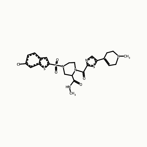 CNC(=O)C1CN(S(=O)(=O)c2cc3ccc(Cl)cc3s2)CCN1C(=O)c1ncc(C2=CCN(C)CC2)s1